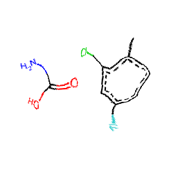 Cc1ccc(F)cc1Cl.NC(=O)O